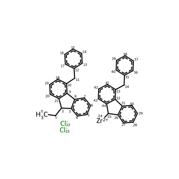 CCC1c2ccccc2-c2c(Cc3ccccc3)cccc21.[Cl-].[Cl-].[Zr+2][CH]1c2ccccc2-c2c(Cc3ccccc3)cccc21